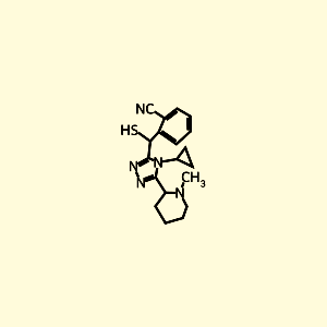 CN1CCCCC1c1nnc(C(S)c2ccccc2C#N)n1C1CC1